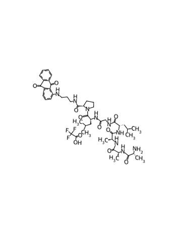 CC(C)C[C@H](NC(=O)[C@H](C)NC(=O)[C@H](C)NC(=O)[C@@H](C)N)C(=O)NCC(=O)N[C@@H](CC(C)C)C(=O)N1CCC[C@@H]1C(=O)NCCCNc1cccc2c1C(=O)c1ccccc1C2=O.O=C(O)C(F)(F)F